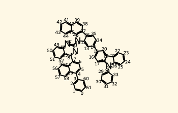 c1ccc(-c2ccc(-c3nc(-n4c5cc(-c6ccc7c(c6)c6ccccc6n7-c6ccccc6)ccc5c5ccc6ccccc6c54)nc4ccccc34)c3ccccc23)cc1